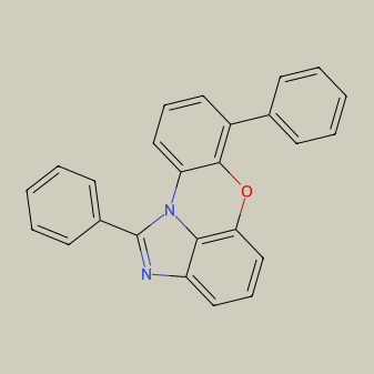 c1ccc(-c2cccc3c2Oc2cccc4nc(-c5ccccc5)n-3c24)cc1